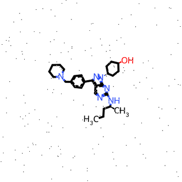 CCC[C@H](C)Nc1ncc2c(-c3ccc(CN4CCCCC4)cc3)nn([C@H]3CC[C@H](O)CC3)c2n1